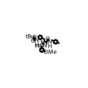 COc1cccc(Nc2ncc(C(=O)NCc3ccc(C)cc3)c(Cc3cccc(NC(=O)OC(C)(C)C)c3)n2)c1